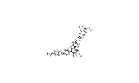 Cc1ccc(COC2CCC3C(CCC4C(C5CCN(CCOCC6CCC(C(C)C)CC6)CC5)NC(C)NC34)C2)cc1